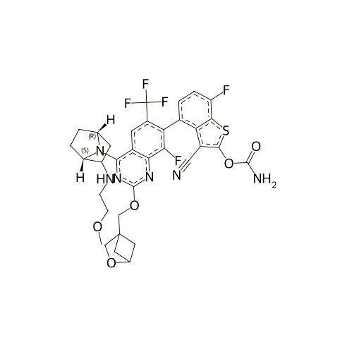 COCCNC1C[C@H]2CC[C@@H]1N2c1nc(OCC23COC(C2)C3)nc2c(F)c(-c3ccc(F)c4sc(OC(N)=O)c(C#N)c34)c(C(F)(F)F)cc12